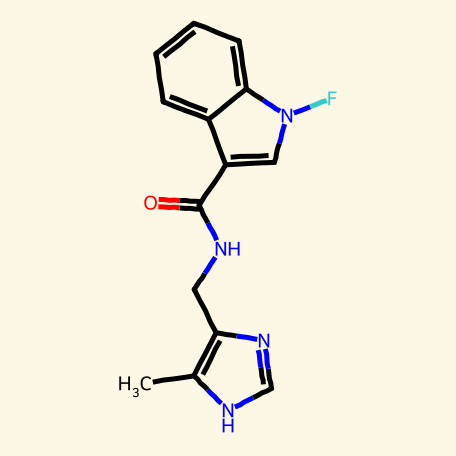 Cc1[nH]cnc1CNC(=O)c1cn(F)c2ccccc12